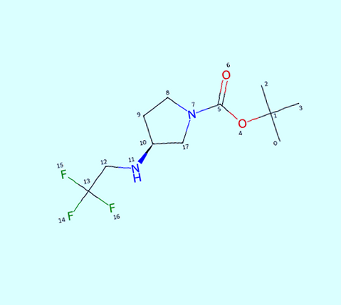 CC(C)(C)OC(=O)N1CC[C@H](NCC(F)(F)F)C1